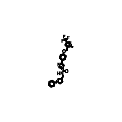 Cn1nc(C(F)(F)F)cc1COc1ccc(-c2cn(C(=O)NCC3CCN(c4ccccc4)C3)cn2)cc1